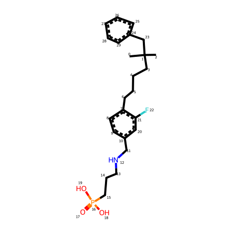 CC(C)(CCCCc1ccc(CNCCCP(=O)(O)O)cc1F)Cc1ccccc1